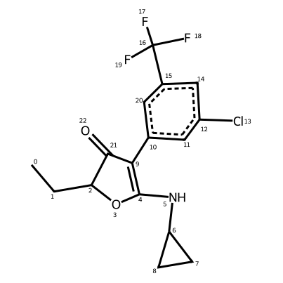 CCC1OC(NC2CC2)=C(c2cc(Cl)cc(C(F)(F)F)c2)C1=O